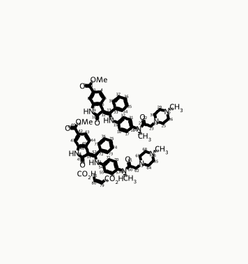 COC(=O)c1ccc2c(c1)NC(=O)/C2=C(\Nc1ccc(N(C)C(=O)CN2CCN(C)CC2)cc1)c1ccccc1.COC(=O)c1ccc2c(c1)NC(=O)/C2=C(\Nc1ccc(N(C)C(=O)CN2CCN(C)CC2)cc1)c1ccccc1.O=C(O)/C=C\C(=O)O